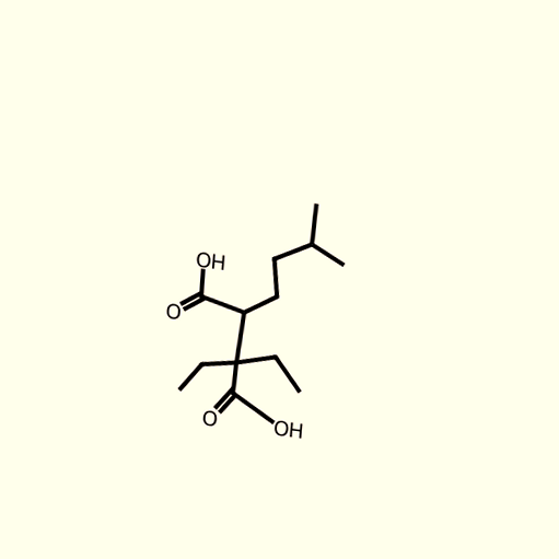 CCC(CC)(C(=O)O)C(CCC(C)C)C(=O)O